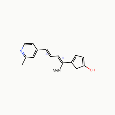 CN/C(=C\C=C\c1ccnc(C)c1)C1=CC=C(O)C1